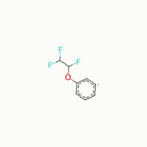 FC(F)C(F)Oc1c[c]ccc1